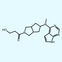 CN(c1ncnc2[nH]ccc12)C1CC2CN(C(=O)CCO)CC2C1